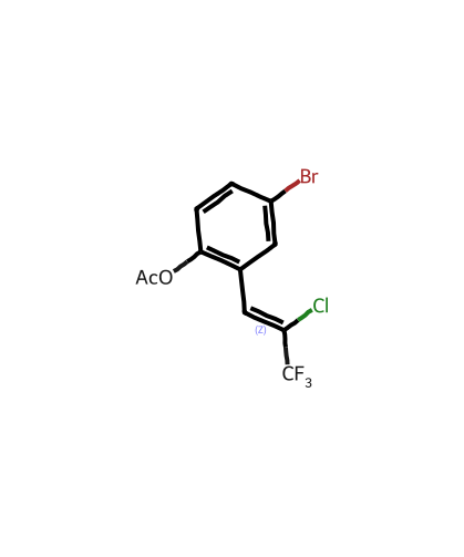 CC(=O)Oc1ccc(Br)cc1/C=C(\Cl)C(F)(F)F